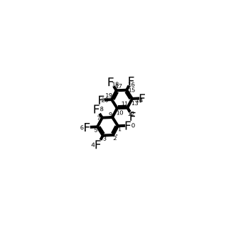 FC1=[C]C(F)=C(F)C(F)C1c1c(F)c(F)c(F)c(F)c1F